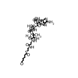 CC(C)(COP(=O)(O)OP(=O)(O)OC[C@H]1O[C@@H](n2cnc3c(N)ncnc32)[C@H](O)[C@@H]1OP(=O)(O)O)C(O)C(=O)NCCC(=O)NCCSC(=O)CCCCC=O